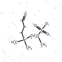 COS(=O)(=O)[O-].C[N+](C)(C)CCC=O